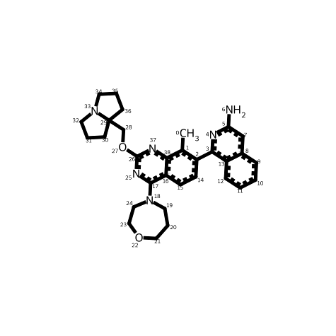 Cc1c(-c2nc(N)cc3ccccc23)ccc2c(N3CCCOCC3)nc(OCC34CCCN3CCC4)nc12